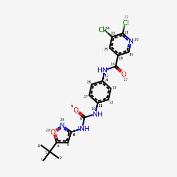 CC(C)(C)c1cc(NC(=O)Nc2ccc(NC(=O)c3cnc(Cl)c(Cl)c3)cc2)no1